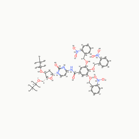 CC(C)(C)[Si](C)(C)OC[C@H]1O[C@@H](n2ccc(NC(=O)c3cc(OCc4ccccc4[N+](=O)[O-])c(OCc4ccccc4[N+](=O)[O-])c(OCc4ccccc4[N+](=O)[O-])c3)nc2=O)CC1O[Si](C)(C)C(C)(C)C